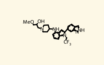 COCC(O)CN1CCC(Nc2cccc3c2cc(-c2ccc4c[nH]nc4c2)n3CC(F)(F)F)CC1